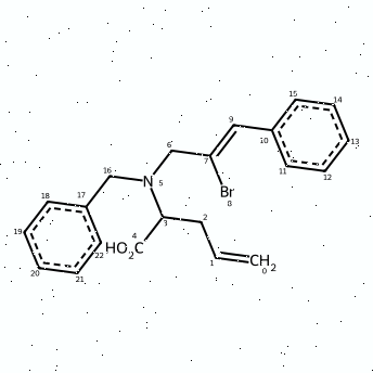 C=CCC(C(=O)O)N(C/C(Br)=C/c1ccccc1)Cc1ccccc1